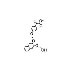 COC(=O)C(=O)c1ccc(OCCOc2cc3ccccc3cc2OCCO)cc1